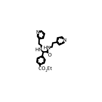 CCOC(=O)c1ccc(C(NCCc2cccnc2)C(=O)NCCc2ccncc2)cc1